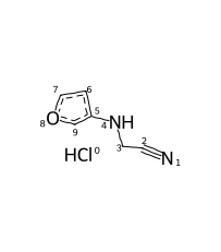 Cl.N#CCNc1ccoc1